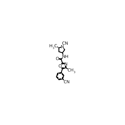 Cc1nc(C(=O)NC2C[C@@H](C)N(C#N)C2)oc1-c1cccc(C#N)c1